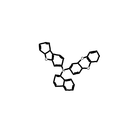 C1=CC2Oc3cc(N(C4=CC5OC6=C(CCC=C6)OC5C=C4)c4cccc5ccccc45)ccc3C2C=C1